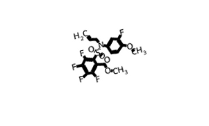 C=CCN(c1ccc(OC)c(F)c1)S(=O)(=O)c1c(F)c(F)c(F)c(F)c1C(=O)OC